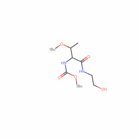 CC(OC(C)(C)C)C(NC(=O)OC(C)(C)C)C(=O)NCCO